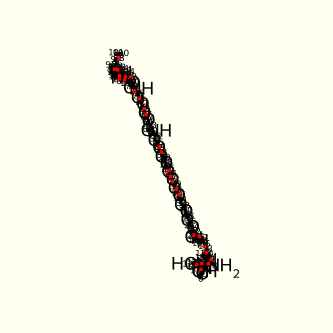 CCOCc1nc2c(N)nc3cc(CCCN4CCN(C(=O)CCOCCOCCOCCOCCOCCOCCOCCOCCOCCOCCOCCOCCNC(=O)CCOCCOCCOCCOCCNC(=O)O[C@H]5CC[C@@]6(C)C(=CC[C@H]7[C@@H]8CC[C@H]([C@H](C)CCCC(C)C)[C@@]8(C)CC[C@@H]76)C5)CC4)ccc3c2n1CC(C)(CO)CO